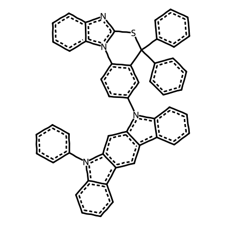 c1ccc(-n2c3ccccc3c3cc4c5ccccc5n(-c5ccc6c(c5)C(c5ccccc5)(c5ccccc5)Sc5nc7ccccc7n5-6)c4cc32)cc1